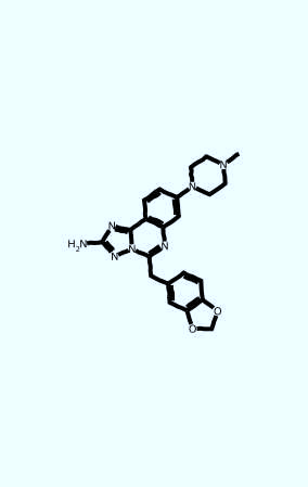 CN1CCN(c2ccc3c(c2)nc(Cc2ccc4c(c2)OCO4)n2nc(N)nc32)CC1